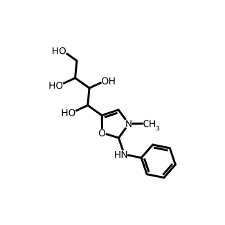 CN1C=C(C(O)C(O)C(O)CO)OC1Nc1ccccc1